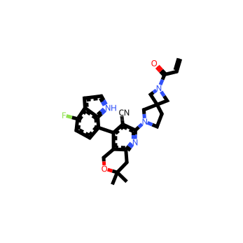 C=CC(=O)N1CC2(CCN(c3nc4c(c(-c5ccc(F)c6cc[nH]c56)c3C#N)COC(C)(C)C4)C2)C1